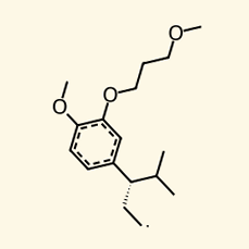 [CH2]C[C@H](c1ccc(OC)c(OCCCOC)c1)C(C)C